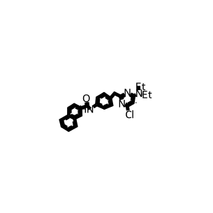 CCN(CC)c1[c]c(Cl)nc(Cc2ccc(NC(=O)c3ccc4ccccc4c3)cc2)n1